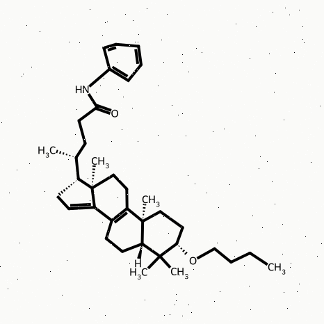 CCCCO[C@H]1CC[C@]2(C)C3=C(CC[C@H]2C1(C)C)C1=CC[C@H]([C@H](C)CCC(=O)Nc2ccccc2)[C@@]1(C)CC3